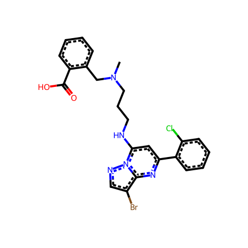 CN(CCCNc1cc(-c2ccccc2Cl)nc2c(Br)cnn12)Cc1ccccc1C(=O)O